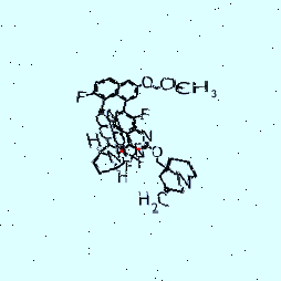 C#Cc1c(F)ccc2cc(OCOC)cc(-c3ncc4c(N5C[C@H]6CC[C@@H](C5C)N6C(=O)C(F)(F)F)nc(OCC56CCCN5CC(=C)C6)nc4c3F)c12